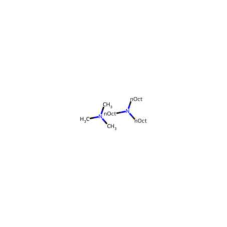 CCCCCCCCN(CCCCCCCC)CCCCCCCC.CN(C)C